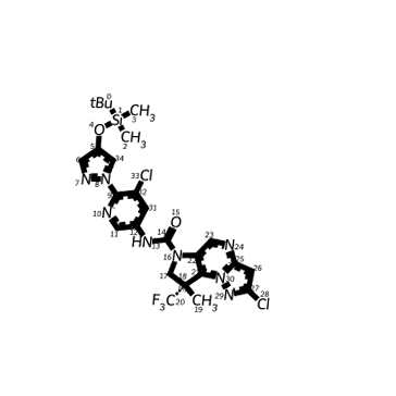 CC(C)(C)[Si](C)(C)Oc1cnn(-c2ncc(NC(=O)N3C[C@@](C)(C(F)(F)F)c4c3cnc3cc(Cl)nn43)cc2Cl)c1